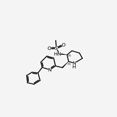 CS(=O)(=O)N[C@H]1CCCN[C@H]1Cc1cccc(-c2ccccc2)n1